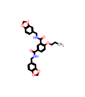 CCCOc1ccc(C(=O)NCc2ccc3c(c2)OCO3)cc1C(=O)NCc1ccc2c(c1)OCO2